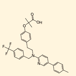 Cc1ccc(-c2ccc(N(CCc3ccc(OC(C)(C)C(=O)O)cc3)Cc3ccc(C(F)(F)F)cc3)nc2)cc1